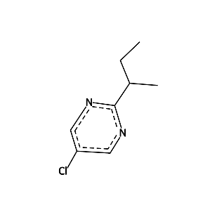 CCC(C)c1ncc(Cl)cn1